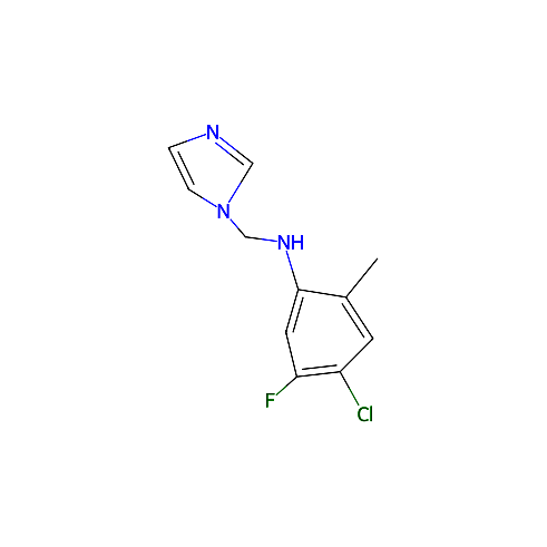 Cc1cc(Cl)c(F)cc1NCn1ccnc1